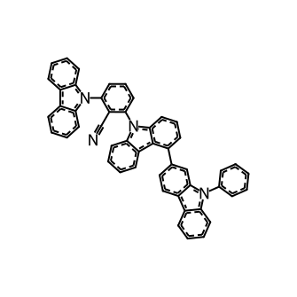 N#Cc1c(-n2c3ccccc3c3ccccc32)cccc1-n1c2ccccc2c2c(-c3ccc4c5ccccc5n(-c5ccccc5)c4c3)cccc21